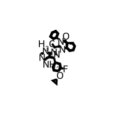 CC(c1nc2ccccc2c(=O)n1-c1ccccc1)n1nc(-c2ccc(OC3CC3)c(F)c2)c2c(N)ncnc21